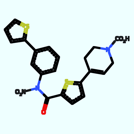 O=C(O)N1CC=C(c2ccc(C(=O)N(c3cccc(-c4cccs4)c3)[N+](=O)[O-])s2)CC1